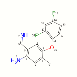 Cc1cc(N)c(C=N)cc1Oc1ccc(F)cc1F